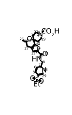 CCS(=O)(=O)c1ccc(CNC(=O)c2cc3c(s2)C2(CCN(C(=O)O)CC2)OC(C)C3)nc1